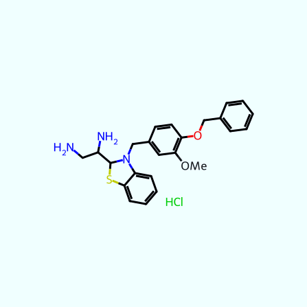 COc1cc(CN2c3ccccc3SC2C(N)CN)ccc1OCc1ccccc1.Cl